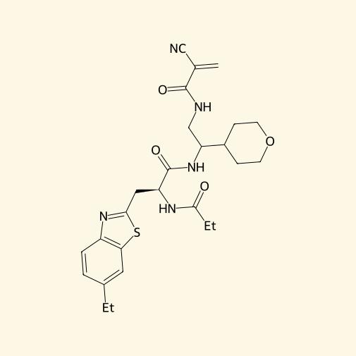 C=C(C#N)C(=O)NCC(NC(=O)[C@H](Cc1nc2ccc(CC)cc2s1)NC(=O)CC)C1CCOCC1